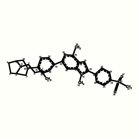 COCCN1C2CCC1CN(c1ccc(-c3cc4c(cc(-c5ccc(S(C)(=O)=O)cc5)n4C)c(C)n3)cc1)C2